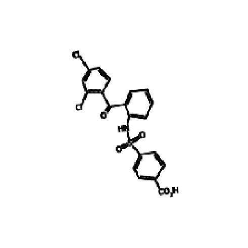 O=C(O)c1ccc(S(=O)(=O)Nc2ccccc2C(=O)c2ccc(Cl)cc2Cl)cc1